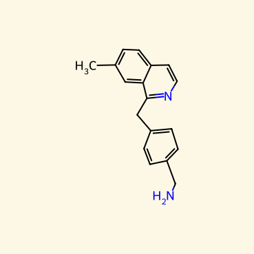 Cc1ccc2ccnc(Cc3ccc(CN)cc3)c2c1